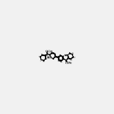 CC(C)COC(c1ccc(C2CCC(C(OCC(C)C)C3CCCCC3)NC2)cc1)C1CCCCN1